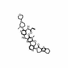 C=CC(=O)Nc1cc(Nc2nc(-c3ccnc(N4CCc5c(sc6c5CCCC6)C4=O)c3CO)cn(C)c2=O)cnc1N1CCN(C2CCOCC2)C[C@@H]1C